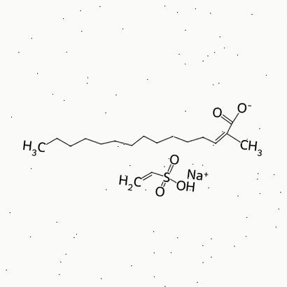 C=CS(=O)(=O)O.CCCCCCCCCCCCC=C(C)C(=O)[O-].[Na+]